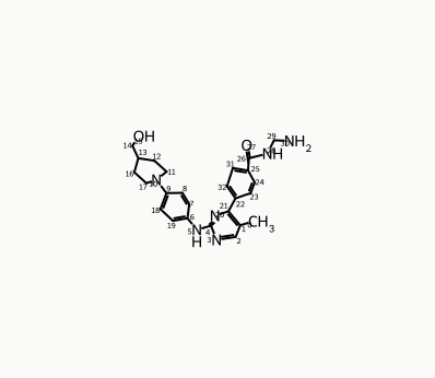 Cc1cnc(Nc2ccc(N3CCC(CO)CC3)cc2)nc1-c1ccc(C(=O)NCN)cc1